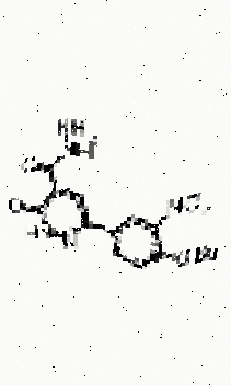 CC(C)COc1ccc(-c2cc(C(=O)NN)c(=O)[nH]n2)cc1[N+](=O)[O-]